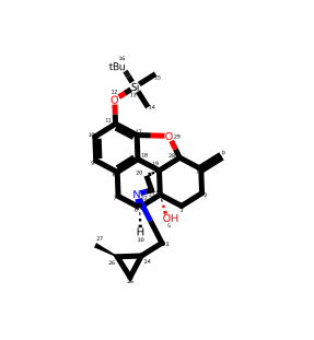 C=C1CC[C@@]2(O)[C@H]3Cc4ccc(O[Si](C)(C)C(C)(C)C)c5c4[C@@]2(CCN3CC2C[C@H]2C)C1O5